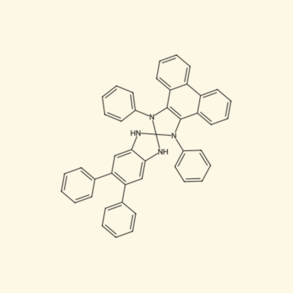 c1ccc(-c2cc3c(cc2-c2ccccc2)NC2(N3)N(c3ccccc3)c3c(c4ccccc4c4ccccc34)N2c2ccccc2)cc1